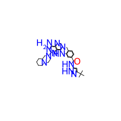 Cc1ccc(C(=O)Nc2cc(C(C)(C)C)n[nH]2)cc1Nc1ncnc2c(N)nc(N3CCN4CCCCC4C3)nc12